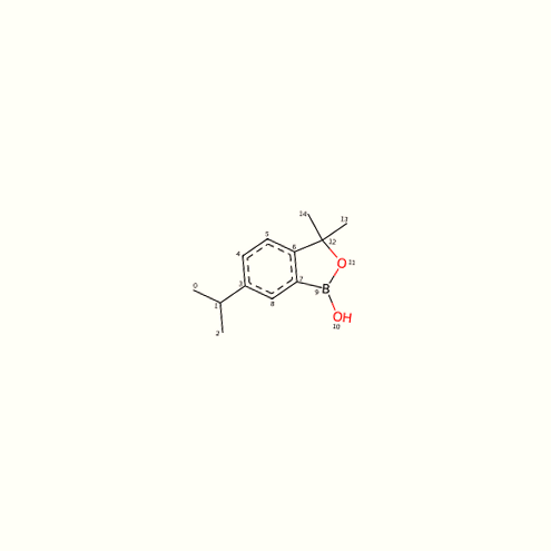 CC(C)c1ccc2c(c1)B(O)OC2(C)C